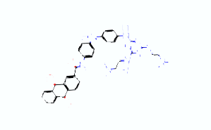 CN(C)CCNc1nc(NCCN(C)C)nc(Nc2ccc(Nc3ccc(NC(=O)c4ccc5c(c4)C(=O)C4=CCCC=C4C5=O)cc3)cc2)n1